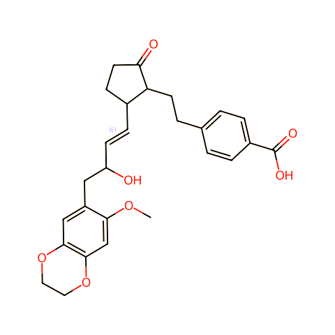 COc1cc2c(cc1CC(O)/C=C/C1CCC(=O)C1CCc1ccc(C(=O)O)cc1)OCCO2